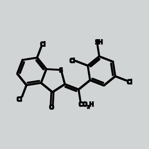 O=C(O)C(=C1Sc2c(Cl)ccc(Cl)c2C1=O)c1cc(Cl)cc(S)c1Cl